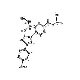 CNc1ccc(-c2ncc(-c3ccc(NCC(C)O)cc3[S+]([O-])NC(C)(C)C)s2)cc1